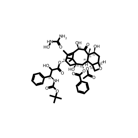 CC(=O)O[C@@]12CO[C@@H]1C[C@H](O)[C@@]1(C)C(=O)[C@H](O)C3=C(C)[C@@H](OC(=O)C(O)[C@@H](NC(=O)OC(C)(C)C)c4ccccc4)C[C@@](O)([C@@H](OC(=O)c4ccccc4)[C@H]21)C3(C)C.NC(=O)NO